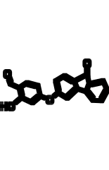 O=Cc1ccc(Oc2ccc3c(c2)-c2ccccc2C3=O)cc1O